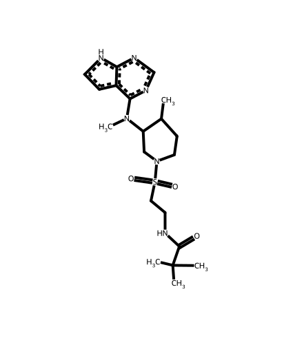 CC1CCN(S(=O)(=O)CCNC(=O)C(C)(C)C)CC1N(C)c1ncnc2[nH]ccc12